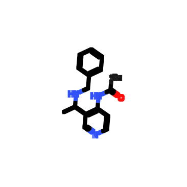 CC(NCc1ccccc1)c1cnccc1NC(=O)C(C)(C)C